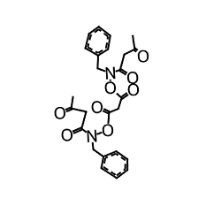 CC(=O)CC(=O)N(Cc1ccccc1)OC(=O)CC(=O)ON(Cc1ccccc1)C(=O)CC(C)=O